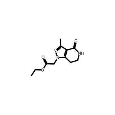 CCOC(=O)Cn1nc(C)c2c1CCNC2=O